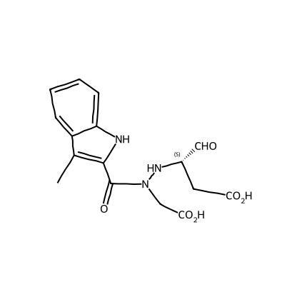 Cc1c(C(=O)N(CC(=O)O)N[C@H](C=O)CC(=O)O)[nH]c2ccccc12